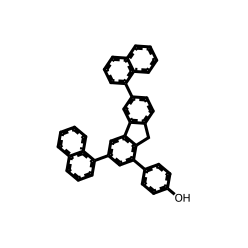 Oc1ccc(-c2cc(-c3cccc4ccccc34)cc3c2Cc2ccc(-c4cccc5ccccc45)cc2-3)cc1